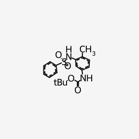 Cc1ccc(NC(=O)OC(C)(C)C)cc1NS(=O)(=O)c1ccccc1